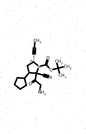 CC#C[C@H]1CC(C2CCCC2)C(C#N)(C(=O)CN)N1C(=O)OC(C)(C)C